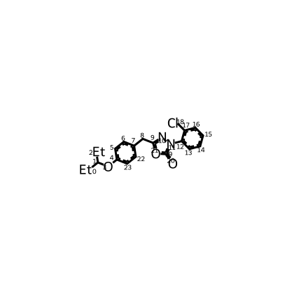 CCC(CC)Oc1ccc(Cc2nn(-c3ccccc3Cl)c(=O)o2)cc1